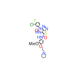 COc1cc(NC(=O)c2sc3ncnc4c3c2NC(=O)N4c2ccc(F)c(Cl)c2)ccc1OCCCN1CCCCC1